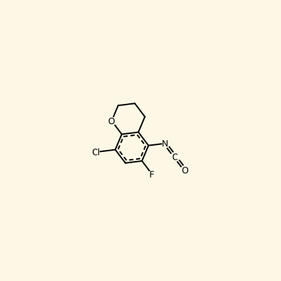 O=C=Nc1c(F)cc(Cl)c2c1CCCO2